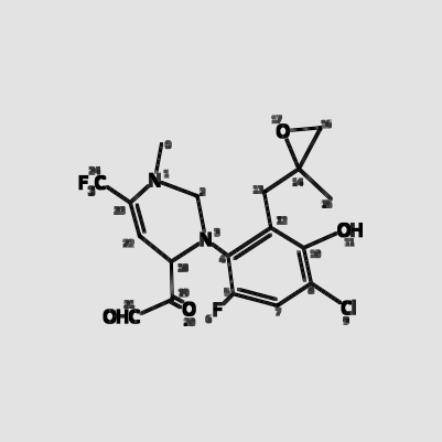 CN1CN(c2c(F)cc(Cl)c(O)c2CC2(C)CO2)C(C(=O)C=O)C=C1C(F)(F)F